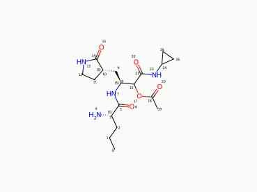 CCC[C@H](N)C(=O)N[C@@H](C[C@@H]1CCNC1=O)C(OC(C)=O)C(=O)NC1CC1